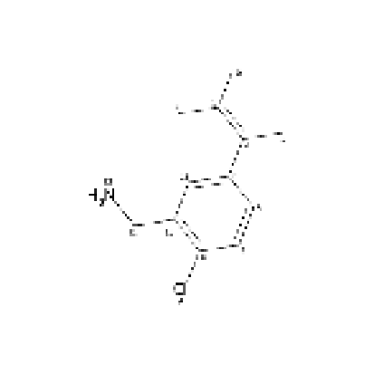 CC(C)=C(C)c1ccc(Cl)c(CN)c1